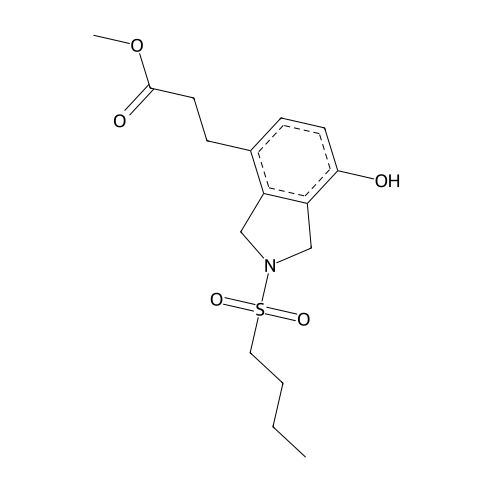 CCCCS(=O)(=O)N1Cc2c(O)ccc(CCC(=O)OC)c2C1